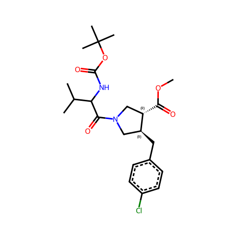 COC(=O)[C@H]1CN(C(=O)C(NC(=O)OC(C)(C)C)C(C)C)C[C@@H]1Cc1ccc(Cl)cc1